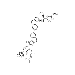 COC(=O)NC(C(=O)N1CCC[C@H]1c1nc2ccc3cc(-c4ccc5c(ccc6nc([C@H](C)N(C[C@H](C)COC(F)F)C(=O)[C@@H](NC(=O)O)C(C)C)[nH]c65)c4)ccc3c2[nH]1)C(C)C